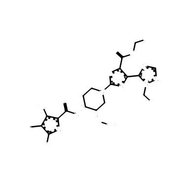 CCOC(=O)c1sc(N2CC[C@@H](NC(=O)c3[nH]c(C)c(Cl)c3Br)[C@@H](OC)C2)nc1-c1ncnn1CC